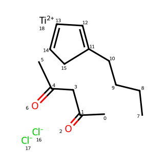 CC(=O)CC(C)=O.CCCCC1=CC=CC1.[Cl-].[Cl-].[Ti+2]